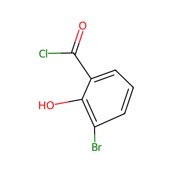 O=C(Cl)c1cccc(Br)c1O